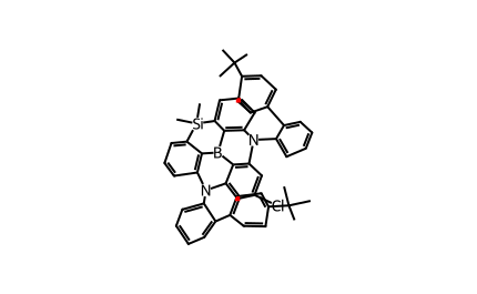 CC(C)(C)c1ccc(-c2ccccc2N2c3cc(Cl)cc4c3B3c5c2cccc5[Si](C)(C)c2cccc(c23)N4c2ccccc2-c2ccc(C(C)(C)C)cc2)cc1